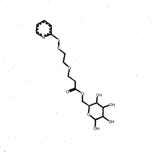 O=C(CCOCCSSc1ccccn1)OCC1OC(O)C(O)C(O)C1O